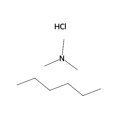 CCCCCC.CN(C)C.Cl